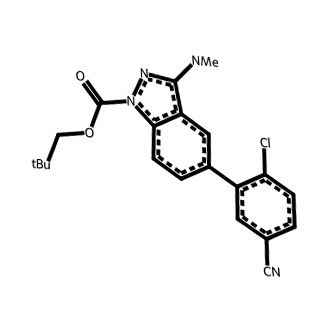 CNc1nn(C(=O)OCC(C)(C)C)c2ccc(-c3cc(C#N)ccc3Cl)cc12